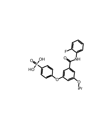 CC(C)Oc1cc(Oc2ccc(P(=O)(O)O)cc2)cc(C(=O)Nc2ccccc2F)c1